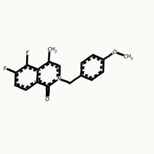 COc1ccc(Cn2cc(C)c3c(F)c(F)ccc3c2=O)cc1